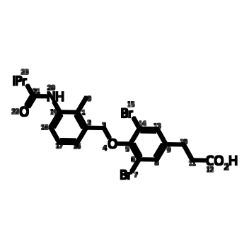 Cc1c(COc2c(Br)cc(CCC(=O)O)cc2Br)cccc1NC(=O)C(C)C